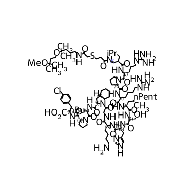 CCCCCC(C)C[C@H](NC(=O)[C@H](CCCCNC(=N)N)NC(=O)[C@H]1CCCN1C(=O)[C@H](CCCNC(=N)N)NC(=O)C(/C=N/C(=O)CCSCC(=O)NCCCC(C)(C)OCCC(C)(C)OC)CC(C)C)C(=O)N[C@@H](CO)C(=O)N[C@@H](Cc1c[nH]cn1)C(=O)N[C@@H](CCCCN)C(=O)NCC(=O)N1C2CCCC[C@H]2C[C@H]1C(=O)N[C@@H](CCCC)C(=O)N1CCC[C@H]1C(=O)N[C@@H](Cc1ccc(Cl)cc1)C(=O)O